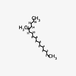 CCCCCCCCCCCC[C](C)CCCC